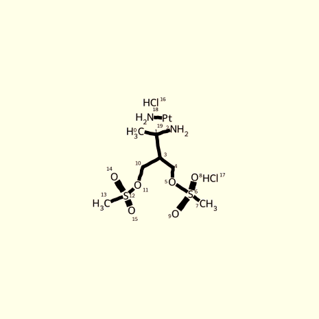 CC(N)C(COS(C)(=O)=O)COS(C)(=O)=O.Cl.Cl.[NH2][Pt]